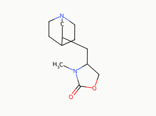 CN1C(=O)OCC1CC1CN2CCC1CC2